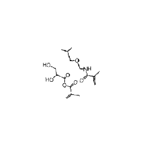 C=C(C)C(=O)NCOCC(C)C.C=C(C)C(=O)OC(=O)C(O)CO